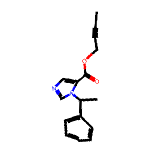 CC#CCOC(=O)c1cncn1C(C)c1ccccc1